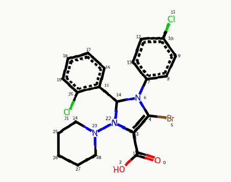 O=C(O)C1=C(Br)N(c2ccc(Cl)cc2)C(c2ccccc2Cl)N1N1CCCCC1